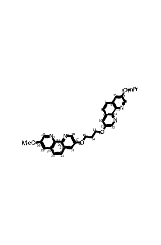 CCCOc1cnc2c(ccc3cc(OCCCOc4cnc5c(ccc6cc(OC)cnc65)c4)cnc32)c1